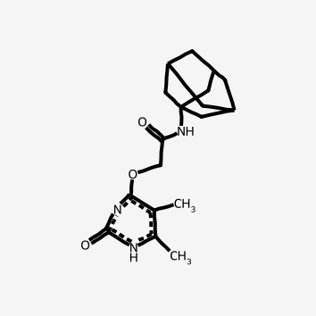 Cc1[nH]c(=O)nc(OCC(=O)NC23CC4CC(CC(C4)C2)C3)c1C